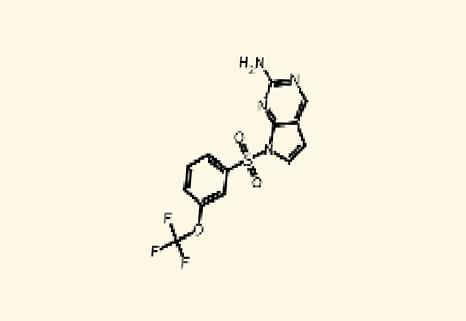 Nc1ncc2ccn(S(=O)(=O)c3cccc(OC(F)(F)F)c3)c2n1